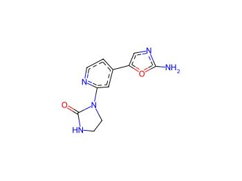 Nc1ncc(-c2ccnc(N3CCNC3=O)c2)o1